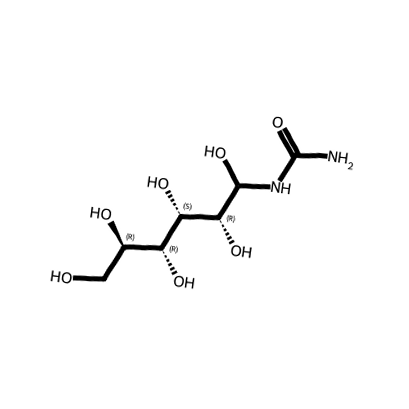 NC(=O)NC(O)[C@H](O)[C@@H](O)[C@H](O)[C@H](O)CO